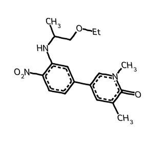 CCOCC(C)Nc1cc(-c2cc(C)c(=O)n(C)c2)ccc1[N+](=O)[O-]